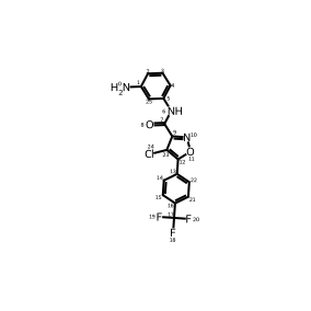 Nc1cccc(NC(=O)c2noc(-c3ccc(C(F)(F)F)cc3)c2Cl)c1